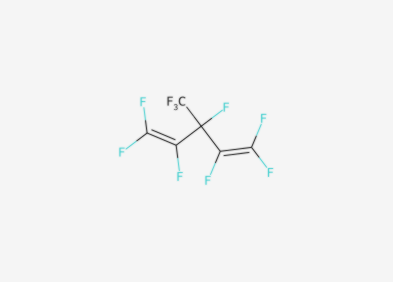 FC(F)=C(F)C(F)(C(F)=C(F)F)C(F)(F)F